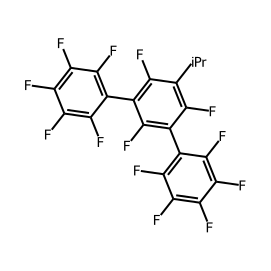 CC(C)c1c(F)c(-c2c(F)c(F)c(F)c(F)c2F)c(F)c(-c2c(F)c(F)c(F)c(F)c2F)c1F